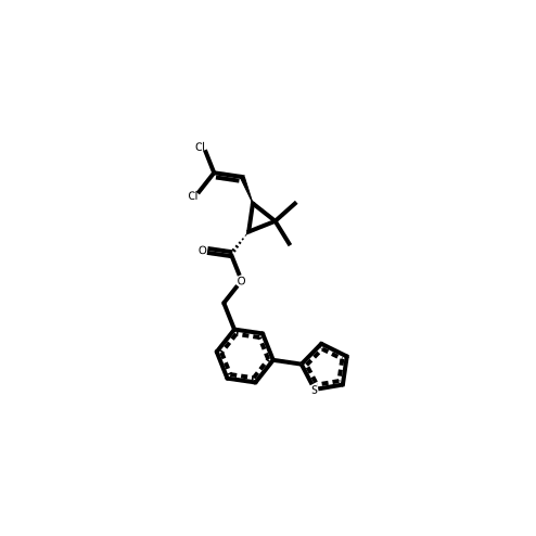 CC1(C)[C@H](C=C(Cl)Cl)[C@H]1C(=O)OCc1cccc(-c2cccs2)c1